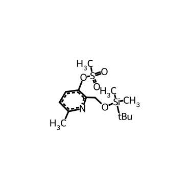 Cc1ccc(OS(C)(=O)=O)c(CO[Si](C)(C)C(C)(C)C)n1